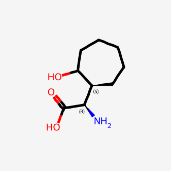 N[C@@H](C(=O)O)[C@@H]1CCCCCC1O